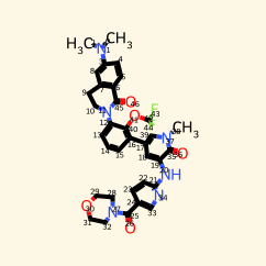 CN(C)c1ccc2c(c1)CCN(c1cccc(-c3cc(Nc4ccc(C(=O)N5CCOCC5)cn4)c(=O)n(C)c3)c1OC(F)F)C2=O